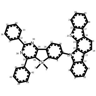 C[Si]1(C)c2cc(-n3c4ccccc4c4ccc5c6ccccc6sc5c43)ccc2-c2nc(-c3ccccc3)nc(-c3ccccc3)c21